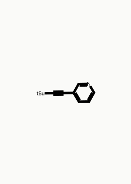 CC(C)(C)C#Cc1[c]nccc1